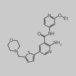 CCOc1cc(NC(=O)c2cc(-c3ccc(CN4CCOCC4)s3)cnc2N)ccn1